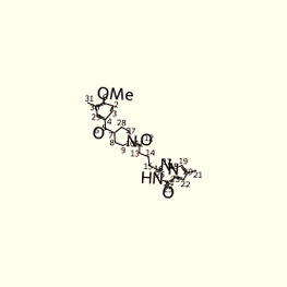 COc1ccc(C(=O)C2CCN(C(=O)CCCc3nn4cc(C)cc4c(=O)[nH]3)CC2)cc1C